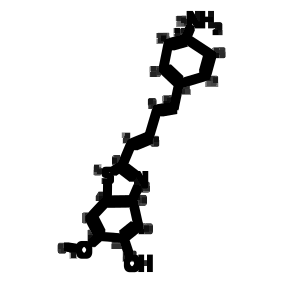 COc1cc2sc(C=CC=Cc3ccc(N)cc3)nc2cc1O